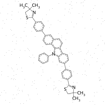 CC1(C)CSC(c2ccc(-c3ccc4c(ccc5c6ccc(-c7ccc(C8=NC(C)(C)CS8)cc7)cc6n(-c6ccccc6)c45)c3)cc2)=N1